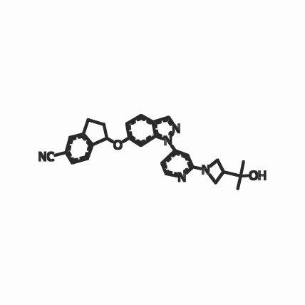 CC(C)(O)C1CN(c2cc(-n3ncc4ccc(OC5CCc6cc(C#N)ccc65)cc43)ccn2)C1